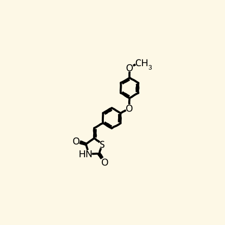 COc1ccc(Oc2ccc(/C=C3\SC(=O)NC3=O)cc2)cc1